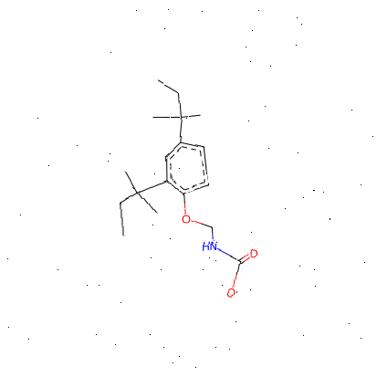 CCC(C)(C)c1ccc(OCNC([O])=O)c(C(C)(C)CC)c1